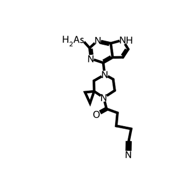 N#CCCCC(=O)N1CCN(c2nc([AsH2])nc3[nH]ccc23)CC12CC2